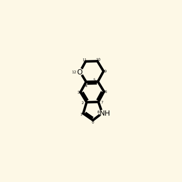 c1cc2cc3c(cc2[nH]1)CCCO3